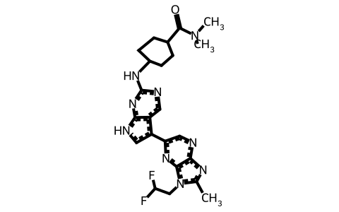 Cc1nc2ncc(-c3c[nH]c4nc(NC5CCC(C(=O)N(C)C)CC5)ncc34)nc2n1CC(F)F